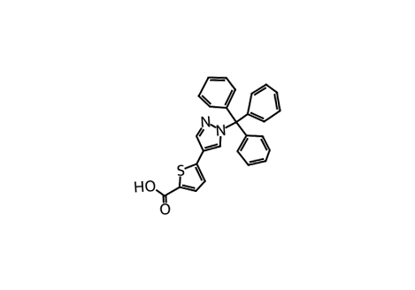 O=C(O)c1ccc(-c2cnn(C(c3ccccc3)(c3ccccc3)c3ccccc3)c2)s1